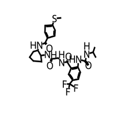 CSc1ccc(C(=O)NC2CCCCC2NC(=O)CNC(=O)c2cc(C(F)(F)F)ccc2NC(=O)NC(C)C)cc1